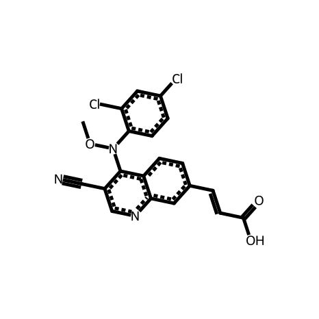 CON(c1ccc(Cl)cc1Cl)c1c(C#N)cnc2cc(C=CC(=O)O)ccc12